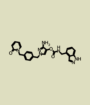 Nc1nn(Cc2ccc(Cn3ccccc3=O)cc2)cc1OC(=O)NCc1cccc2[nH]ncc12